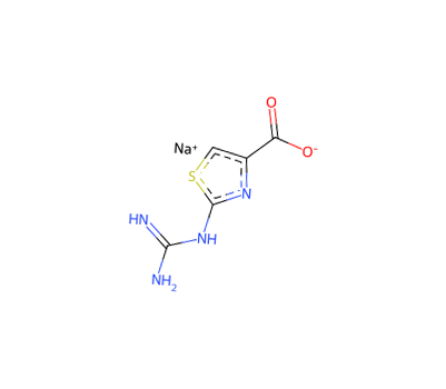 N=C(N)Nc1nc(C(=O)[O-])cs1.[Na+]